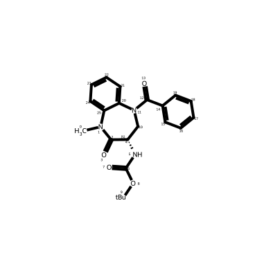 CN1C(=O)[C@@H](NC(=O)OC(C)(C)C)CN(C(=O)c2ccccc2)c2ccccc21